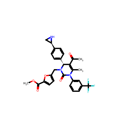 COC(=O)c1ccc(CN2C(=O)N(c3cccc(C(F)(F)F)c3)C(C)=C(C(C)=O)[C@H]2c2ccc([C@H]3CN3)cc2)o1